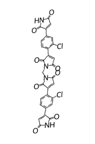 O=C1C=C(c2ccc(C3=CC(=O)N(CN4C(=O)C=C(c5ccc(C6=CC(=O)NC6=O)cc5Cl)C4=O)C3=O)c(Cl)c2)C(=O)N1